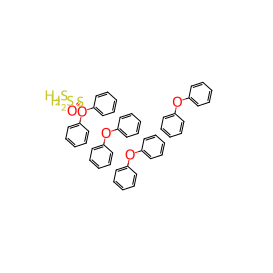 O=S.S.S.c1ccc(Oc2ccccc2)cc1.c1ccc(Oc2ccccc2)cc1.c1ccc(Oc2ccccc2)cc1.c1ccc(Oc2ccccc2)cc1